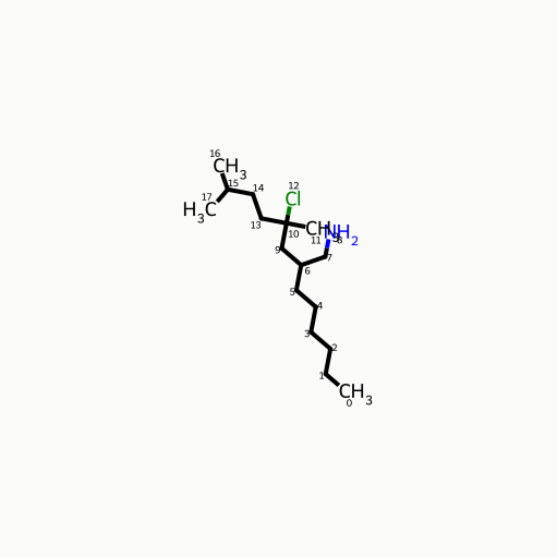 CCCCCCC(CN)CC(C)(Cl)CCC(C)C